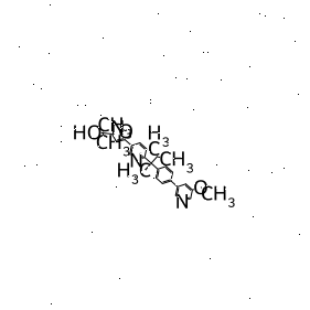 COc1cncc(-c2ccc([C@](C)(c3ccc(-c4cc(C(C)(C)O)no4)cn3)C(C)C)cc2)c1